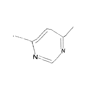 [CH2]c1cc(C)ncn1